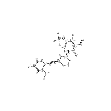 C=C[C@@H](C(=O)N[C@H]1CCC[C@@H](C#Cc2cnc(Cl)nc2OC)C1)N(C)C(=O)OC(C)(C)C